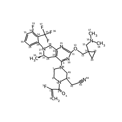 C=C(F)C(=O)N1CCN(c2nc(OCC3(CN(C)C)CC3)nc3c2C[C@@H](C)N(c2cccc(F)c2C(F)(F)F)C3)CC1CC#N